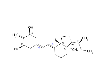 C=C1[C@H](O)C/C(=C/C=C2\CCC[C@]3(C)[C@@H]([C@@H](C)CC)CC[C@@H]23)C[C@@H]1O